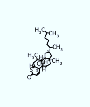 CC(C)CCCC(C)[C@H]1C[C@H]2[C@@H]3[C@@H](C)C[C@H]4SC(=O)C=C[C@]4(C)[C@H]3CC[C@]2(C)C1